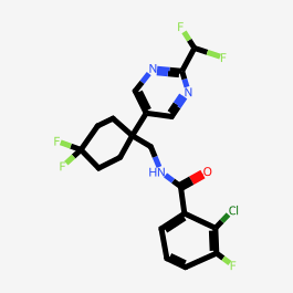 O=C(NCC1(c2cnc(C(F)F)nc2)CCC(F)(F)CC1)c1cccc(F)c1Cl